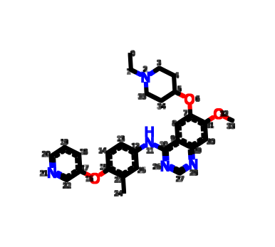 CCN1CCC(Oc2cc3c(Nc4ccc(Oc5cccnc5)c(C)c4)ncnc3cc2OC)CC1